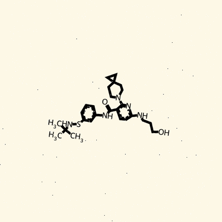 CC(C)(C)NSc1cccc(NC(=O)c2ccc(NCCCO)nc2N2CCC3(CC2)CC3)c1